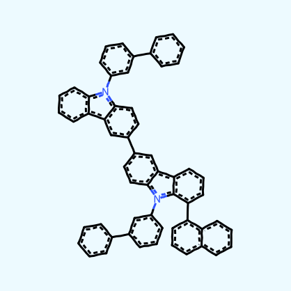 c1ccc(-c2cccc(-n3c4ccccc4c4cc(-c5ccc6c(c5)c5cccc(-c7cccc8ccccc78)c5n6-c5cccc(-c6ccccc6)c5)ccc43)c2)cc1